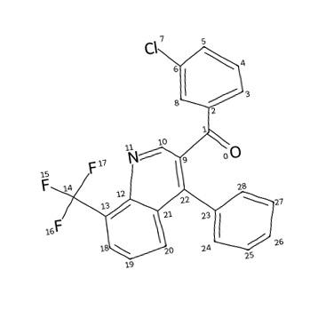 O=C(c1cccc(Cl)c1)c1cnc2c(C(F)(F)F)cccc2c1-c1ccccc1